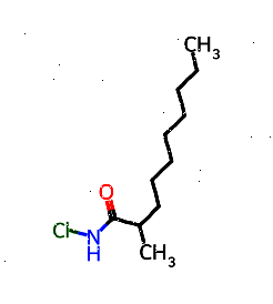 CCCCCCCCC(C)C(=O)NCl